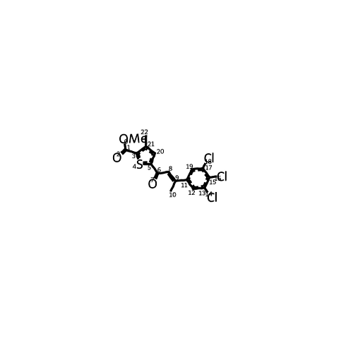 COC(=O)c1sc(C(=O)/C=C(\C)c2cc(Cl)c(Cl)c(Cl)c2)cc1C